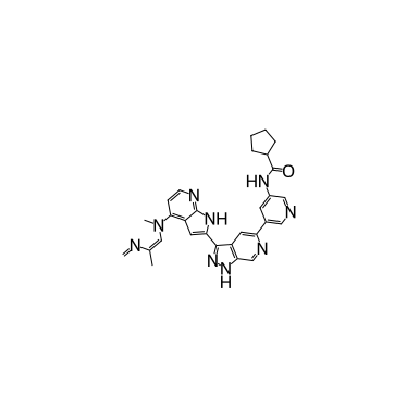 C=N/C(C)=C\N(C)c1ccnc2[nH]c(-c3n[nH]c4cnc(-c5cncc(NC(=O)C6CCCC6)c5)cc34)cc12